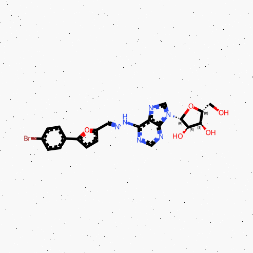 OC[C@H]1O[C@@H](n2cnc3c(NN=Cc4ccc(-c5ccc(Br)cc5)o4)ncnc32)[C@H](O)[C@@H]1O